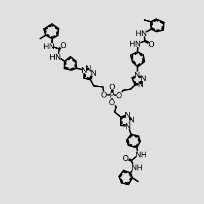 Cc1ccccc1NC(=O)Nc1ccc(-n2cc(CCOP(=O)(OCCc3cn(-c4ccc(NC(=O)Nc5ccccc5C)cc4)nn3)OCCc3cn(-c4ccc(NC(=O)Nc5ccccc5C)cc4)nn3)nn2)cc1